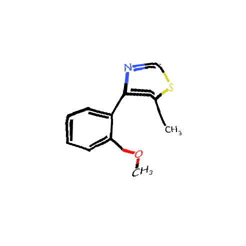 COc1ccccc1-c1n[c]sc1C